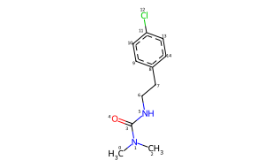 CN(C)C(=O)NCCc1ccc(Cl)cc1